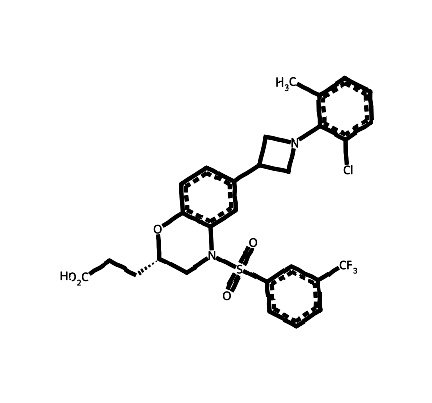 Cc1cccc(Cl)c1N1CC(c2ccc3c(c2)N(S(=O)(=O)c2cccc(C(F)(F)F)c2)C[C@H](CCC(=O)O)O3)C1